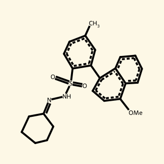 COc1ccc(-c2cc(C)ccc2S(=O)(=O)NN=C2CCCCC2)c2ccccc12